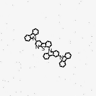 c1cc(-n2c3ccccc3c3cc(-n4c5ccccc5c5ccccc54)ccc32)c2sc3ncc(-n4c5ccccc5c5ccccc54)cc3c2c1